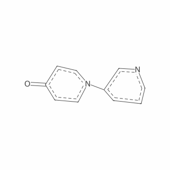 O=c1ccn(-c2cccnc2)cc1